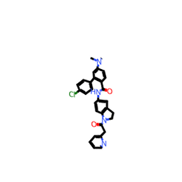 CN(C)c1ccc(C(=O)Nc2ccc3c(c2)CCN3C(=O)Cc2ccccn2)c(-c2ccc(Cl)cc2)c1